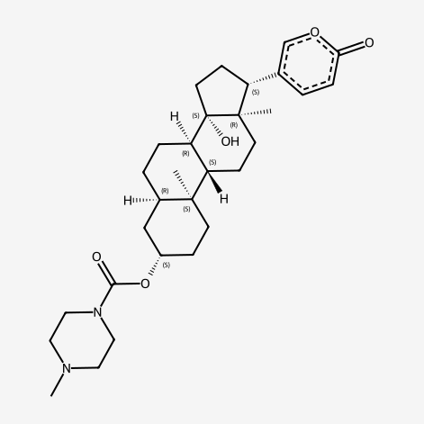 CN1CCN(C(=O)O[C@H]2CC[C@@]3(C)[C@H](CC[C@@H]4[C@@H]3CC[C@]3(C)[C@@H](c5ccc(=O)oc5)CC[C@]43O)C2)CC1